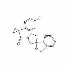 O=C(N1CCC2(C1)OCc1ccccc12)C1(c2ccc(Cl)cc2)CC1